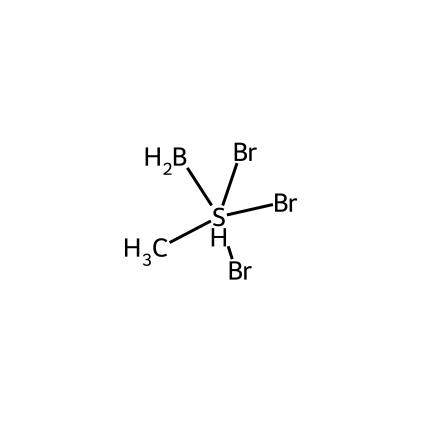 B[SH](C)(Br)(Br)Br